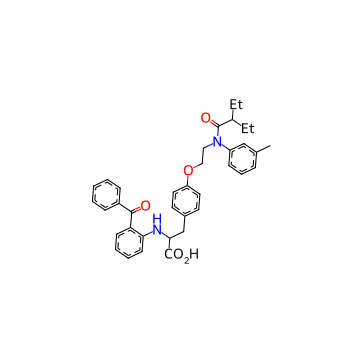 CCC(CC)C(=O)N(CCOc1ccc(CC(Nc2ccccc2C(=O)c2ccccc2)C(=O)O)cc1)c1cccc(C)c1